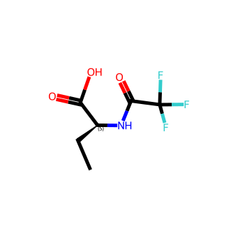 CC[C@H](NC(=O)C(F)(F)F)C(=O)O